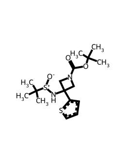 CC(C)(C)OC(=O)N1CC(N[S+]([O-])C(C)(C)C)(c2cccs2)C1